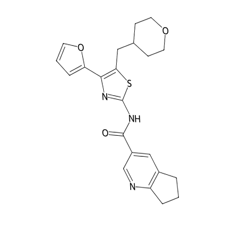 O=C(Nc1nc(-c2ccco2)c(CC2CCOCC2)s1)c1cnc2c(c1)CCC2